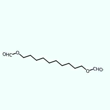 O=[C]OCCCCCCCCCCOC=O